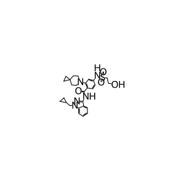 O=C(Nc1nn(CC2CC2)c2ccccc12)c1ccc(NS(=O)(=O)CCO)cc1N1CCC2(CC1)CC2